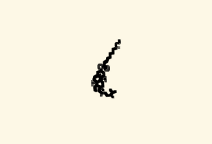 CCCCCCCCCC=CC(=O)OC1CC[C@@]2(C)C(=CC[C@H]3[C@@H]4CC[C@H]([C@H](C)CC[C@H](C)C(C)C)[C@@]4(C)CC[C@@H]32)C1